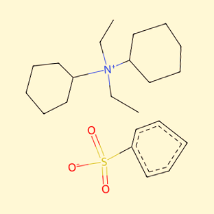 CC[N+](CC)(C1CCCCC1)C1CCCCC1.O=S(=O)([O-])c1ccccc1